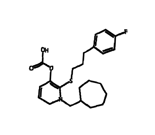 O=C(O)OC1=C(SCCCc2ccc(F)cc2)N(CC2CCCCCC2)CC=C1